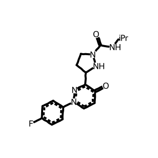 CC(C)NC(=O)N1CCC(c2nn(-c3ccc(F)cc3)ccc2=O)N1